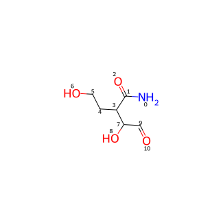 NC(=O)C(CCO)C(O)C=O